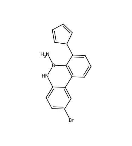 NB1Nc2ccc(Br)cc2-c2cccc(C3C=CC=C3)c21